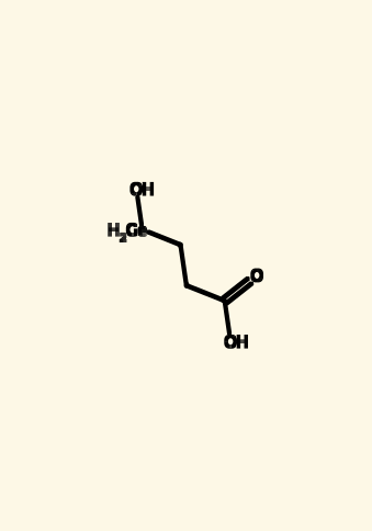 O=C(O)C[CH2][GeH2][OH]